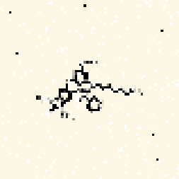 CCCOc1cc(OCCCCCCN)cc(Oc2cc3c(cc2NS(=O)(=O)c2cccnc2)n(C)c(=O)n3C)c1